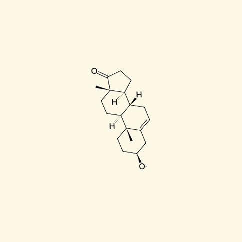 C[C@]12CC[C@H]([O])CC1=CC[C@@H]1[C@@H]2CC[C@]2(C)C(=O)CC[C@@H]12